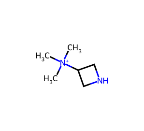 C[N+](C)(C)C1CNC1